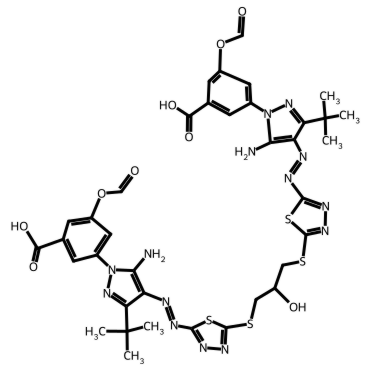 CC(C)(C)c1nn(-c2cc(OC=O)cc(C(=O)O)c2)c(N)c1N=Nc1nnc(SCC(O)CSc2nnc(N=Nc3c(C(C)(C)C)nn(-c4cc(OC=O)cc(C(=O)O)c4)c3N)s2)s1